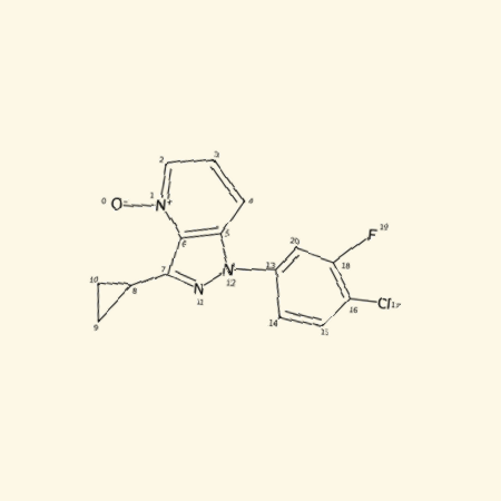 [O-][n+]1cccc2c1c(C1CC1)nn2-c1ccc(Cl)c(F)c1